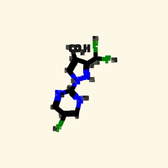 O=C(O)c1cn(-c2ncc(F)cn2)nc1C(F)F